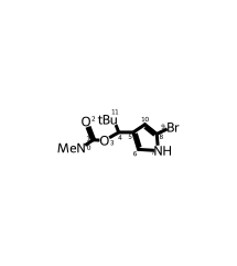 CNC(=O)OC(c1c[nH]c(Br)c1)C(C)(C)C